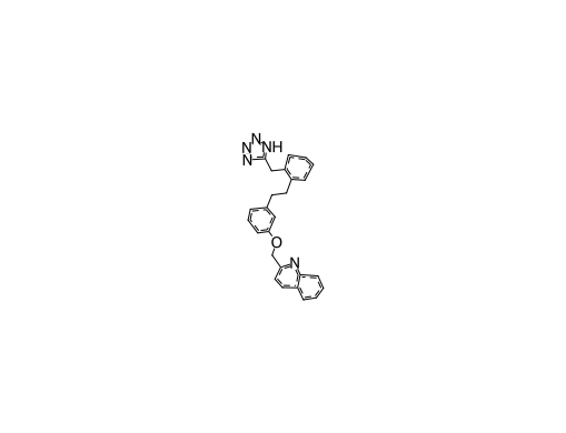 c1cc(CCc2ccccc2Cc2nnn[nH]2)cc(OCc2ccc3ccccc3n2)c1